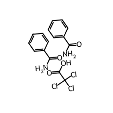 NC(=O)c1ccccc1.NC(=O)c1ccccc1.O=C(O)C(Cl)(Cl)Cl